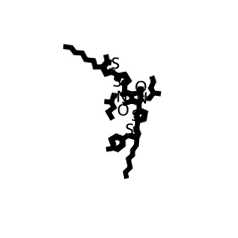 CCCCCCCc1cc(-c2ccc(C3=C4C(=O)N(CC(C)CCC)C(c5ccc(-c6cc(CCCCCCC)c(-c7ccc(C)cc7)s6)s5)=C4C(=O)N3CC(C)CCC)s2)sc1C